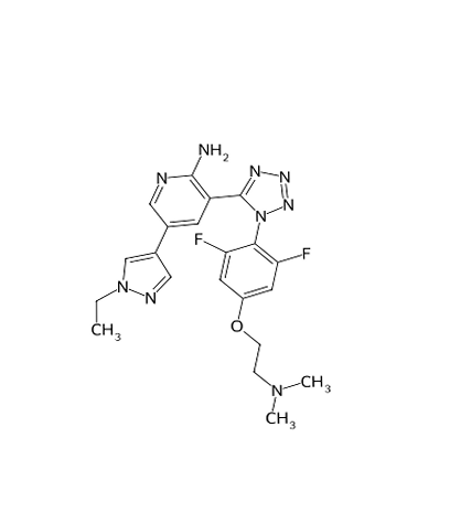 CCn1cc(-c2cnc(N)c(-c3nnnn3-c3c(F)cc(OCCN(C)C)cc3F)c2)cn1